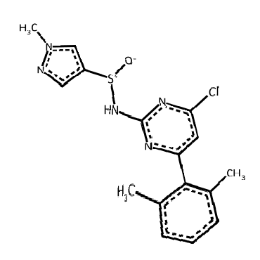 Cc1cccc(C)c1-c1cc(Cl)nc(N[S+]([O-])c2cnn(C)c2)n1